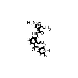 Cc1cc(C(=O)NCc2cccc3c2C(=O)N(C2CCC(=O)NC2=O)C3=O)c(C)o1